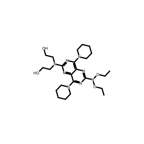 CCON(OCC)c1nc(N2CCCCC2)c2nc(N(CCO)CCO)nc(N3CCCCC3)c2n1